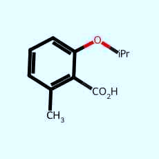 Cc1cccc(OC(C)C)c1C(=O)O